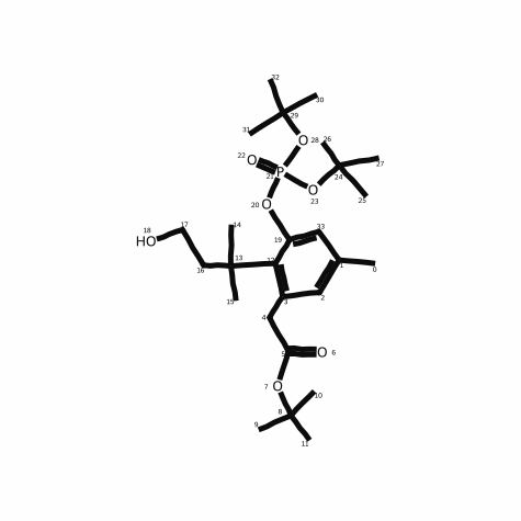 Cc1cc(CC(=O)OC(C)(C)C)c(C(C)(C)CCO)c(OP(=O)(OC(C)(C)C)OC(C)(C)C)c1